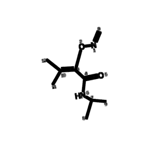 C=NOC(C(=O)NC(C)C)=C(C)C